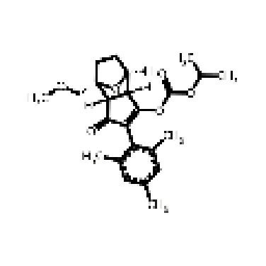 COC[C@]12CC[C@H](O1)[C@@H]1C(OC(=O)OC(C)C)=C(c3c(C)cc(C)cc3C)C(=O)[C@@H]12